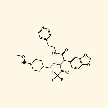 COBN1CCC(CCN(C(=O)C(F)(F)F)C(C(=O)NCCc2ccncc2)c2ccc3c(c2)OCO3)CC1